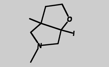 CN1CC2(C)CCOC2(I)C1